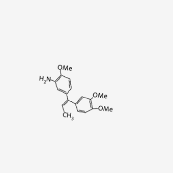 CC=C(c1ccc(OC)c(N)c1)c1ccc(OC)c(OC)c1